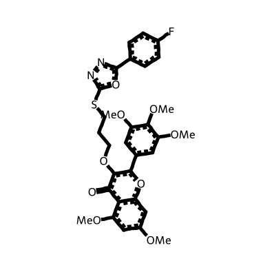 COc1cc(OC)c2c(=O)c(OCCCSc3nnc(-c4ccc(F)cc4)o3)c(-c3cc(OC)c(OC)c(OC)c3)oc2c1